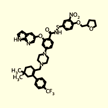 CC1(C)CCC(CN2CCN(c3ccc(C(=O)NSc4ccc(OCC5CCCO5)c([N+](=O)[O-])c4)c(Oc4cnc5[nH]ccc5c4)c3)CC2)=C(c2ccc(C(F)(F)F)cc2)C1